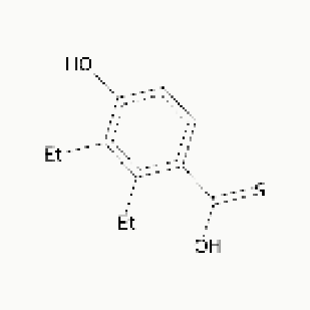 CCc1c(O)ccc(C(O)=S)c1CC